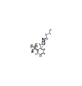 CCC/[C]=N/OCc1ccccc1C(F)(F)F